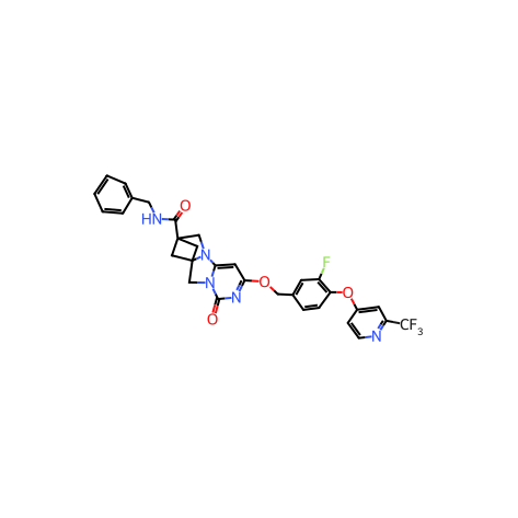 O=C(NCc1ccccc1)C12CN3c4cc(OCc5ccc(Oc6ccnc(C(F)(F)F)c6)c(F)c5)nc(=O)n4CC3(C1)C2